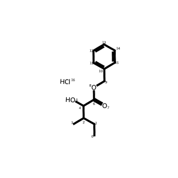 CCC(C)C(O)C(=O)OCc1ccccc1.Cl